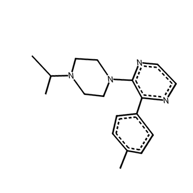 Cc1ccc(-c2nccnc2N2CCN(C(C)C)CC2)cc1